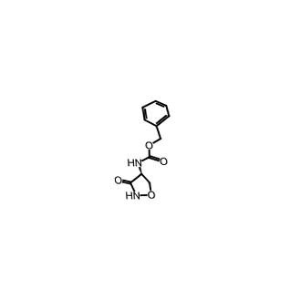 O=C(N[C@H]1CONC1=O)OCc1ccccc1